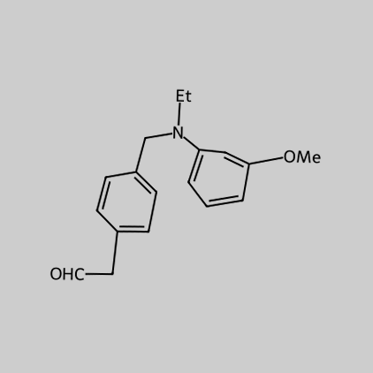 CCN(Cc1ccc(CC=O)cc1)c1cccc(OC)c1